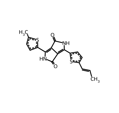 C/C=C/c1ccc(C2=C3C(=O)NC(c4ccc(C)s4)=C3C(=O)N2)s1